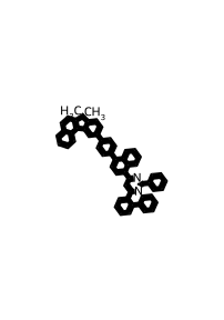 CC1(C)c2ccc(-c3ccc(-c4ccc(-c5cc(-c6ccccc6-c6ccccc6)nc(-c6ccccc6)n5)c5ccccc45)cc3)cc2-c2c1ccc1ccccc21